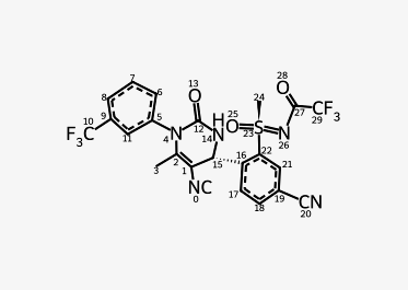 [C-]#[N+]C1=C(C)N(c2cccc(C(F)(F)F)c2)C(=O)N[C@@H]1c1ccc(C#N)cc1[S@](C)(=O)=NC(=O)C(F)(F)F